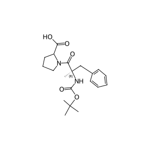 CC(C)(C)OC(=O)N[C@](C)(Cc1ccccc1)C(=O)N1CCCC1C(=O)O